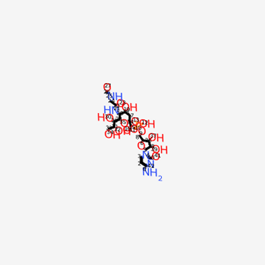 Nc1ccn(C2OC(COP(=O)(O)O[C@@]3(C=O)C[C@@H](O)[C@@H](NC(=O)CNC=O)C([C@H](O)[C@H](O)CO)O3)[C@@H](O)[C@H]2O)c(=O)n1